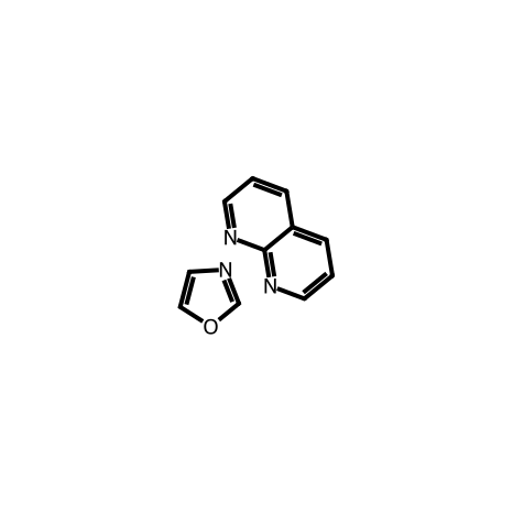 c1cnc2ncccc2c1.c1cocn1